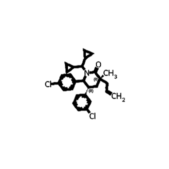 C=CC[C@]1(C)C[C@H](c2cccc(Cl)c2)C(c2ccc(Cl)cc2)N(C(C2CC2)C2CC2)C1=O